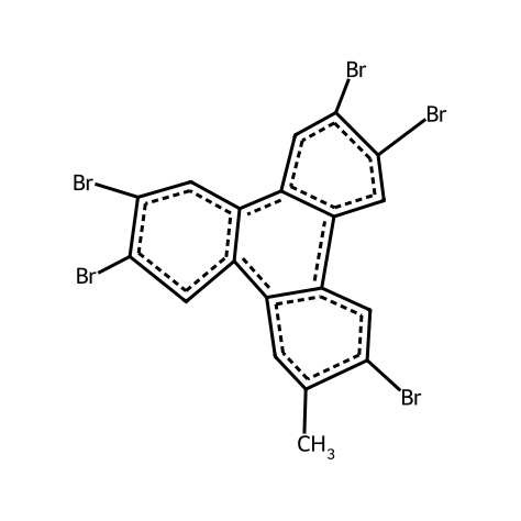 Cc1cc2c(cc1Br)c1cc(Br)c(Br)cc1c1cc(Br)c(Br)cc21